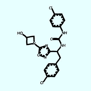 O=C(Nc1ccc(Cl)cc1)NC(Cc1ccc(Cl)cc1)c1noc(N2CC(O)C2)n1